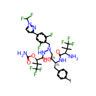 CC(C)(C(N)C(=O)N[C@@H](Cc1ccc(I)cc1)[C@@H](O)CN(Cc1c(F)cc(-c2ccn(C(F)F)n2)cc1F)NC(=O)C(OC(N)=O)C(C)(C)C(F)(F)F)C(F)(F)F